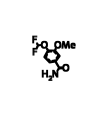 COc1cc(C(N)=O)ccc1OC(F)F